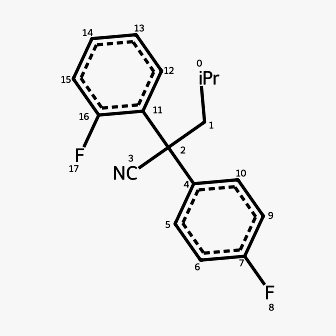 CC(C)CC(C#N)(c1ccc(F)cc1)c1ccccc1F